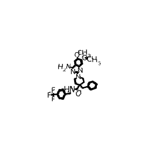 COc1cc2nc(N3CCC(Cc4ccccc4)(C(=O)NCc4ccc(C(F)(F)F)cc4)CC3)nc(N)c2cc1OC